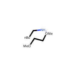 CCCCCN.COCCOC